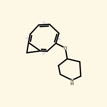 C1=C\C=C(OC2CCNCC2)/C=C2/C/C2=C/1